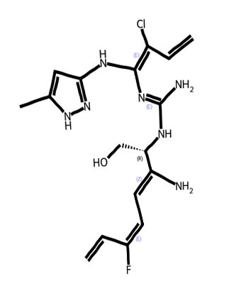 C=C/C(F)=C\C=C(/N)[C@H](CO)N/C(N)=N/C(Nc1cc(C)[nH]n1)=C(/Cl)C=C